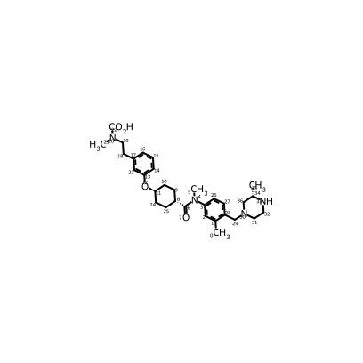 Cc1cc(N(C)C(=O)[C@H]2CC[C@H](Oc3cccc(CCN(C)C(=O)O)c3)CC2)ccc1CN1CCN[C@@H](C)C1